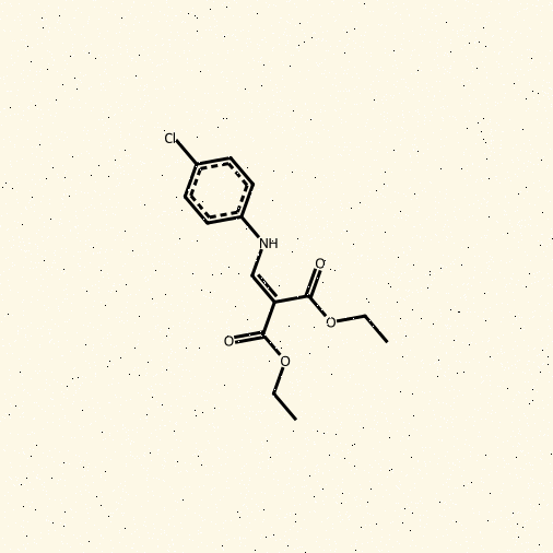 CCOC(=O)C(=CNc1ccc(Cl)cc1)C(=O)OCC